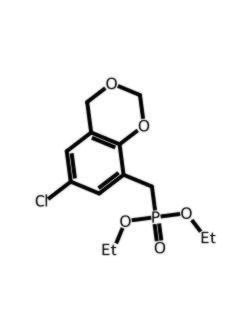 CCOP(=O)(Cc1cc(Cl)cc2c1OCOC2)OCC